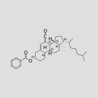 CC(C)CCCC(C)[C@H]1CC[C@H]2[C@@H]3C(=C=O)C=C4C[C@@H](OC(=O)c5ccccc5)CC[C@]4(C)[C@H]3CC[C@]12C